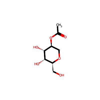 CC(=O)O[C@H]1[CH]O[C@H](CO)[C@H](O)[C@@H]1O